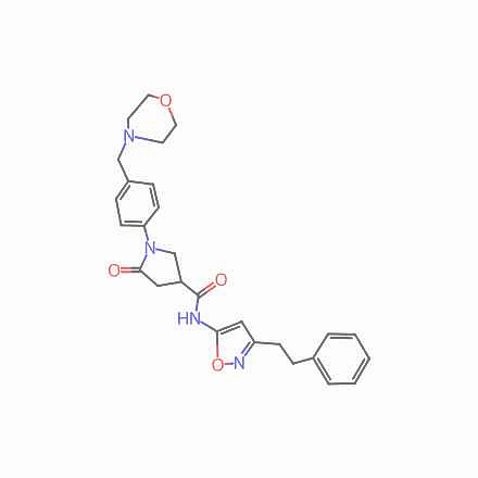 O=C(Nc1cc(CCc2ccccc2)no1)C1CC(=O)N(c2ccc(CN3CCOCC3)cc2)C1